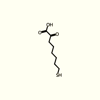 O=C(O)C(=O)CCCCCCS